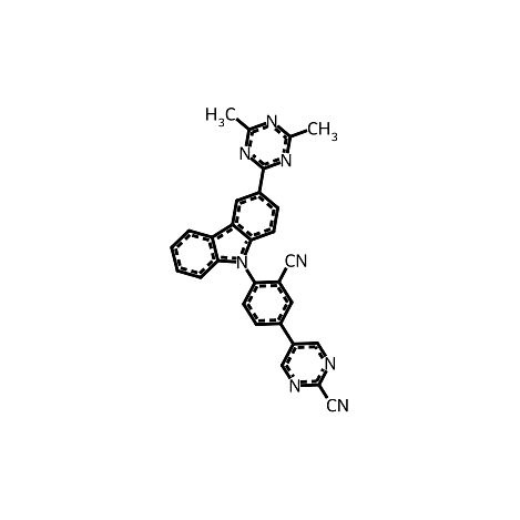 Cc1nc(C)nc(-c2ccc3c(c2)c2ccccc2n3-c2ccc(-c3cnc(C#N)nc3)cc2C#N)n1